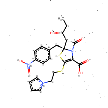 CC[C@H](O)[C@@H]1C(=O)N2C(C(=O)O)=C(SCCn3cccc3)S[C@]12Cc1ccc([N+](=O)[O-])cc1